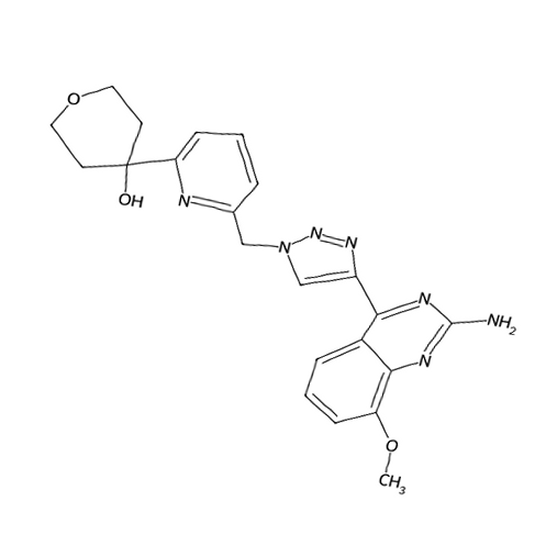 COc1cccc2c(-c3cn(Cc4cccc(C5(O)CCOCC5)n4)nn3)nc(N)nc12